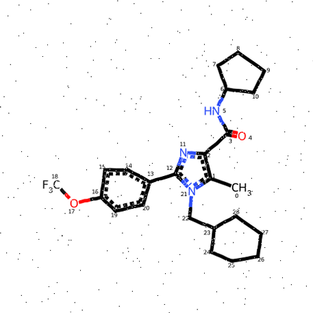 Cc1c(C(=O)NC2CCCC2)nc(-c2ccc(OC(F)(F)F)cc2)n1CC1CCCCC1